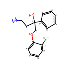 NCCC(O)(COc1ccccc1Cl)c1ccccc1